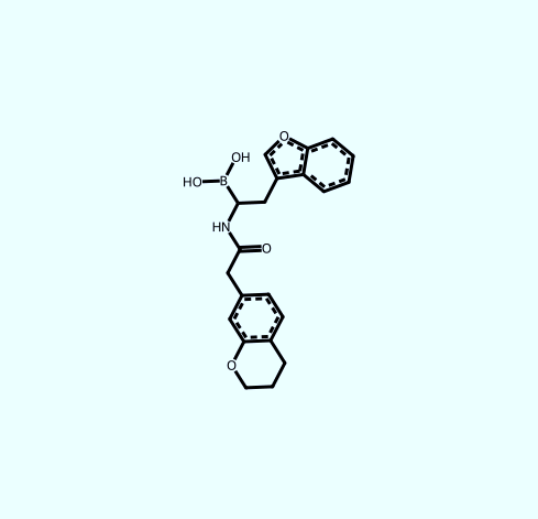 O=C(Cc1ccc2c(c1)OCCC2)NC(Cc1coc2ccccc12)B(O)O